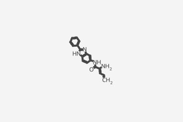 C=C/C=C(\N)C(=O)Nc1ccc2[nH]c(-c3ccccc3)nc2c1